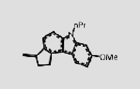 C=C1CCc2c1ccc1c2c2ccc(OC)cc2n1CCC